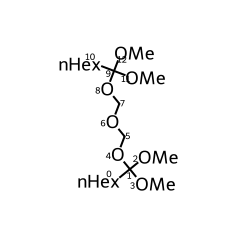 CCCCCCC(OC)(OC)OCOCOC(CCCCCC)(OC)OC